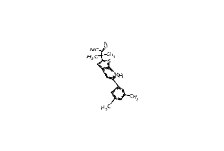 Cc1cc(C)cc(-c2cc3cc(C(C)(C)C(=O)C#N)sc3[nH]2)c1